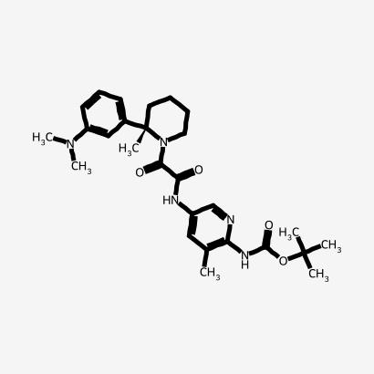 Cc1cc(NC(=O)C(=O)N2CCCC[C@@]2(C)c2cccc(N(C)C)c2)cnc1NC(=O)OC(C)(C)C